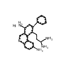 I.Nc1ccc2ncc3c(N)cc(-c4ccccc4)c(CCC(N)N)c3c2c1